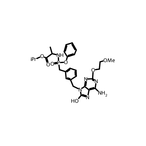 COCCOc1nc(N)c2nc(O)n(Cc3cccc(CP(=O)(NC(C)C(=O)OC(C)C)Oc4ccccc4)c3)c2n1